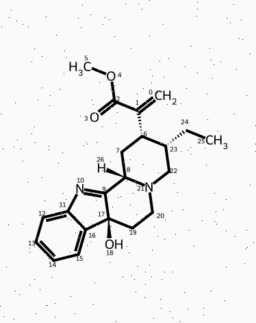 C=C(C(=O)OC)[C@H]1C[C@H]2C3=Nc4ccccc4[C@@]3(O)CCN2C[C@H]1CC